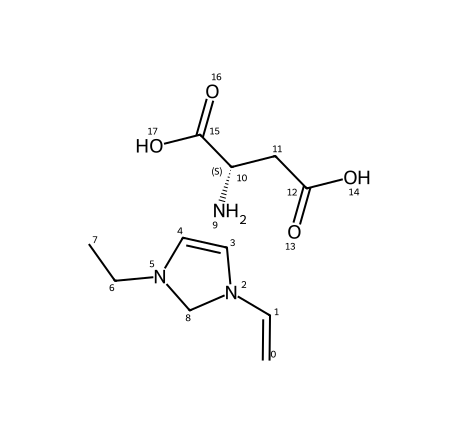 C=CN1C=CN(CC)C1.N[C@@H](CC(=O)O)C(=O)O